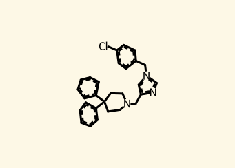 Clc1ccc(Cn2cnc(CN3CCC(c4ccccc4)(c4ccccc4)CC3)c2)cc1